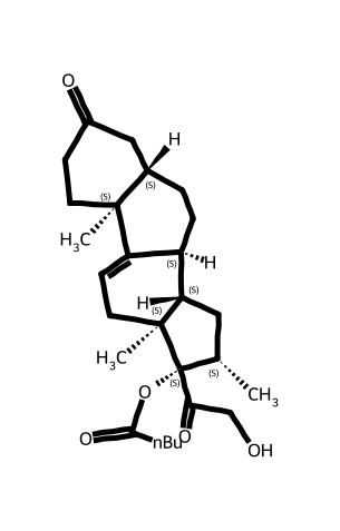 CCCCC(=O)O[C@@]1(C(=O)CO)[C@@H](C)C[C@H]2[C@@H]3CC[C@H]4CC(=O)CC[C@]4(C)C3=CC[C@@]21C